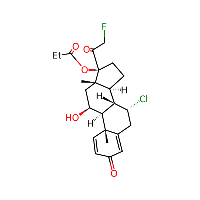 CCC(=O)O[C@@]1(C(=O)CF)CC[C@H]2[C@H]3[C@H]([C@@H](O)C[C@@]21C)[C@@]1(C)C=CC(=O)C=C1C[C@H]3Cl